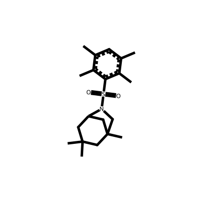 Cc1cc(C)c(C)c(S(=O)(=O)N2CC3(C)CC2CC(C)(C)C3)c1C